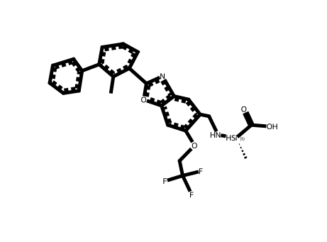 Cc1c(-c2ccccc2)cccc1-c1nc2cc(CN[Si@@H](C)C(=O)O)c(OCC(F)(F)F)cc2o1